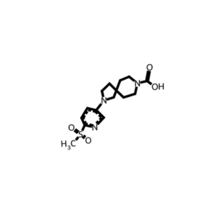 CS(=O)(=O)c1ccc(N2CCC3(CCN(C(=O)O)CC3)C2)cn1